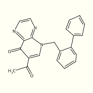 CC(=O)c1cn(Cc2ccccc2-c2ccccc2)c2nccnc2c1=O